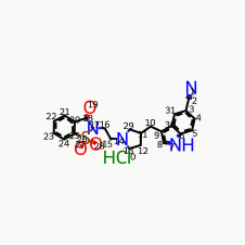 Cl.N#Cc1ccc2[nH]cc(CC3CCN(CCN4C(=O)c5ccccc5S4(=O)=O)C3)c2c1